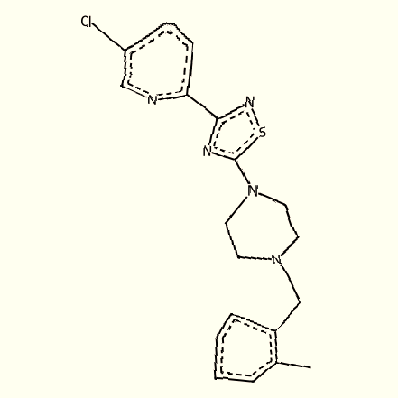 Cc1ccccc1CN1CCN(c2nc(-c3ccc(Cl)cn3)ns2)CC1